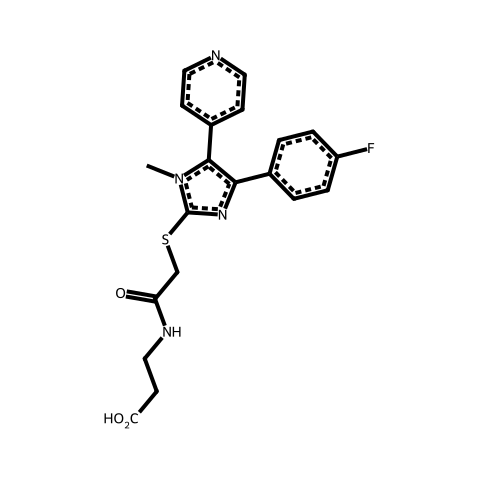 Cn1c(SCC(=O)NCCC(=O)O)nc(-c2ccc(F)cc2)c1-c1ccncc1